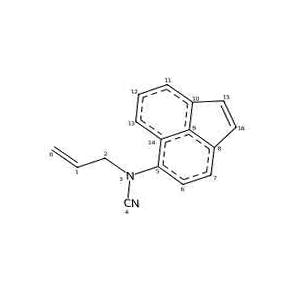 C=CCN(C#N)c1ccc2c3c(cccc13)C=C2